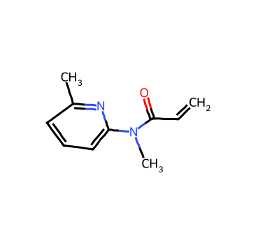 C=CC(=O)N(C)c1cccc(C)n1